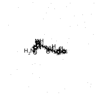 NC(=O)c1ccc2c(c1)nc(NCCCNC(=O)CCNCc1ccc(C3CCCC3)c(Cl)c1)c1ccncc12